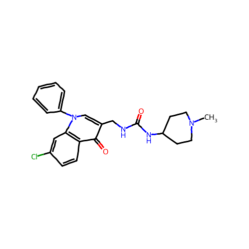 CN1CCC(NC(=O)NCc2cn(-c3ccccc3)c3cc(Cl)ccc3c2=O)CC1